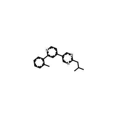 Cc1ccccc1-c1cc(-c2cnc(CC(C)C)nc2)ccn1